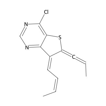 CC=C=c1sc2c(Cl)ncnc2/c1=C/C=C\C